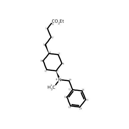 CCOC(=O)CCC[C@H]1CC[C@@H](N(C)Cc2ccccc2)CC1